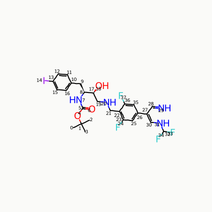 CC(C)(C)OC(=O)N[C@@H](Cc1ccc(I)cc1)[C@@H](O)CNCc1c(F)cc(/C(C=N)=C/NC(F)F)cc1F